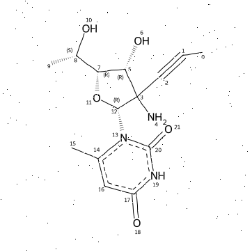 CC#CC1(N)[C@@H](O)[C@@H]([C@H](C)O)O[C@H]1n1c(C)cc(=O)[nH]c1=O